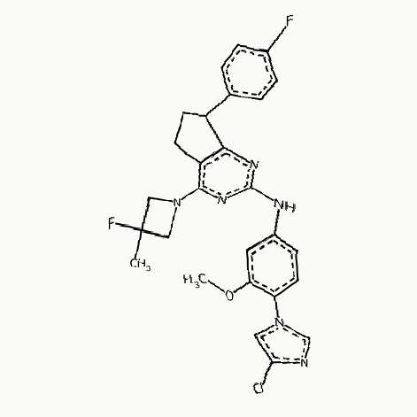 COc1cc(Nc2nc3c(c(N4CC(C)(F)C4)n2)CCC3c2ccc(F)cc2)ccc1-n1cnc(Cl)c1